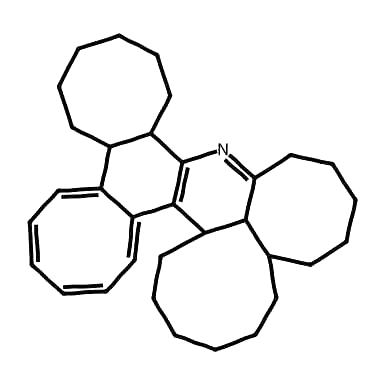 C1=C\C=C2/C(=C\C=C/1)C1=C(N=C3CCCCCC4CCCCCCC1C34)C1CCCCCCC21